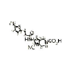 N#Cc1c(NC(=O)C=Cc2ccc(Cl)s2)sc2c1CCN(C(=O)O)C2